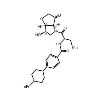 CCCN1CCC(c2ccc(C(=O)NC(CC(C)(C)C)C(=O)N3C[C@@H](O)[C@H]4OCC(=O)[C@H]43)cc2)CC1